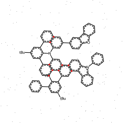 CC(C)(C)c1cc(-c2ccccc2)c(Nc2cc(-c3ccc4c(c3)c3ccccc3n4-c3ccccc3)cc(N(c3cccc(-c4ccc5oc6ccccc6c5c4)c3)c3c(-c4ccccc4)cc(C(C)(C)C)cc3-c3ccccc3)c2)c(-c2ccccc2)c1